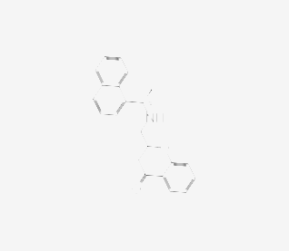 C[C@@H](NCC1CC(=O)c2ccccc2O1)c1cccc2ccccc12